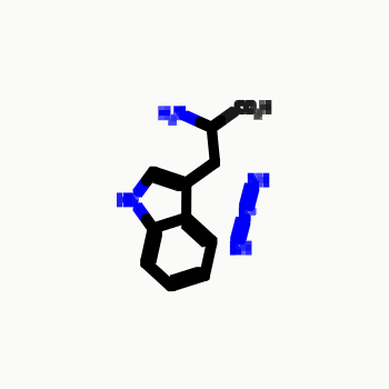 N=[N+]=N.NC(Cc1c[nH]c2ccccc12)C(=O)O